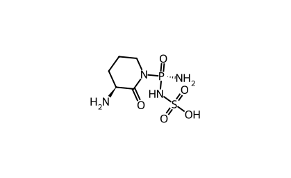 N[C@H]1CCCN([P@@](N)(=O)NS(=O)(=O)O)C1=O